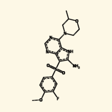 COc1ccc(S(=O)(=O)c2c(N)[nH]c3c(N4CCOC(C)C4)ncnc23)cc1F